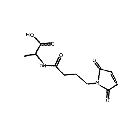 CC(NC(=O)CCCN1C(=O)C=CC1=O)C(=O)O